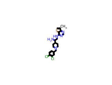 Cc1csc2c(NCC(N)C3CCN(Cc4ccc(Cl)c(Cl)c4)CC3)ncnc12